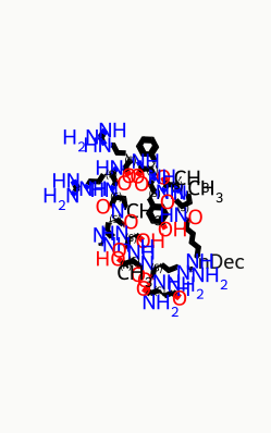 CCCCCCCCCCCCCCCC(=O)N[C@H]1CC(C)N([C@@H](C)C(=O)N[C@@H](Cc2ccc(O)cc2)C(=O)N[C@@H](Cc2ccccc2)C(=O)N[C@@H](CCCNC(=N)N)C(=O)N[C@@H](CCCNC(=N)N)C(=O)N[C@H]2CC(C)N([C@@H](Cc3c[nH]cn3)C(=O)N[C@@H](CO)C(=O)N[C@H](C(=O)N[C@@H](CCCNC(=N)N)C(=O)N[C@@H](CC(N)=O)C(N)=O)[C@@H](C)O)C2=O)C1=O